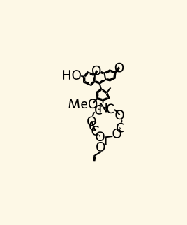 C=CCOCC1COCCOCCN(c2cc(C)c(-c3c4ccc(=O)cc-4oc4cc(O)ccc34)cc2OC)CCOCCO1